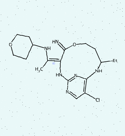 CCC1CCOC(=N)/C(=C(/C)NC2CCOCC2)Nc2ncc(Cl)c(n2)N1